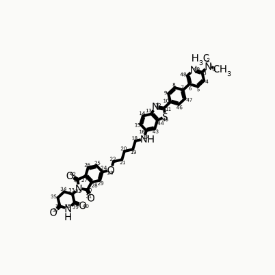 CN(C)c1ccc(-c2ccc(-c3nc4ccc(NCCCCCOc5ccc6c(c5)C(=O)N(C5CCC(=O)NC5=O)C6=O)cc4s3)cc2)cn1